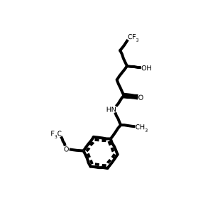 CC(NC(=O)CC(O)CC(F)(F)F)c1cccc(OC(F)(F)F)c1